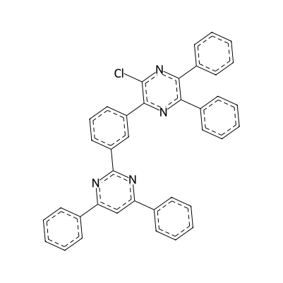 Clc1nc(-c2ccccc2)c(-c2ccccc2)nc1-c1cccc(-c2nc(-c3ccccc3)cc(-c3ccccc3)n2)c1